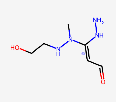 CN(NCCO)/C(=C/C=O)NN